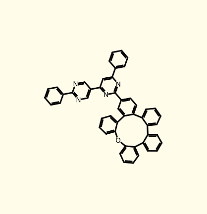 c1ccc(-c2cc(-c3cnc(-c4ccccc4)nc3)nc(-c3ccc4c(c3)-c3ccccc3Oc3ccccc3-c3ccccc3-c3ccccc3-4)n2)cc1